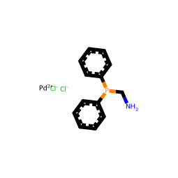 NCP(c1ccccc1)c1ccccc1.[Cl-].[Cl-].[Pd+2]